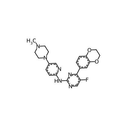 CN1CCN(c2ccc(Nc3ncc(F)c(-c4ccc5c(c4)OCCO5)n3)nc2)CC1